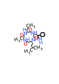 CCC[C@@H]1NC(=O)[C@H](C)NC(=O)C[C@H](CCC(C)C)NC(=O)[C@H](Cc2c[nH]c3ccccc23)NC1=O